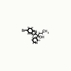 CCCC(O)(c1cccnc1)c1nc2ccc(Br)cc2s1